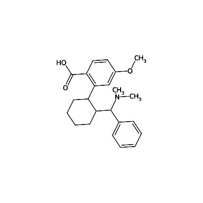 COc1ccc(C(=O)O)c(C2CCCCC2C(c2ccccc2)N(C)C)c1